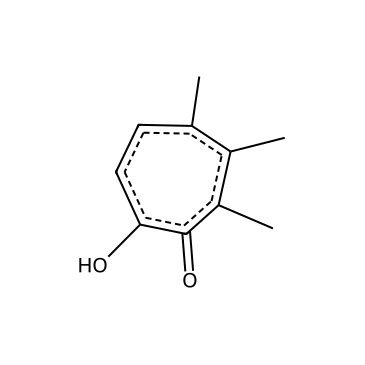 Cc1ccc(O)c(=O)c(C)c1C